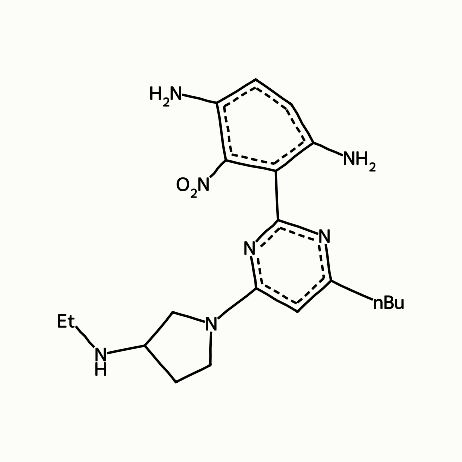 CCCCc1cc(N2CCC(NCC)C2)nc(-c2c(N)ccc(N)c2[N+](=O)[O-])n1